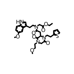 CCOC(=O)CN(CCc1c[nH]c2ccc(OC)cc12)C(=O)CC1C(=O)N(CCOC)CC(=O)N1CCc1cccs1